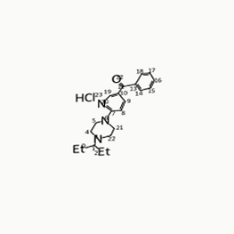 CCC(CC)N1CCN(c2ccc(C(=O)c3ccccc3)cn2)CC1.Cl